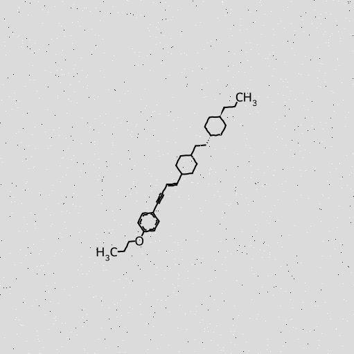 CCCOc1ccc(C#C/C=C/C2CCC(CC[C@H]3CC[C@H](CCC)CC3)CC2)cc1